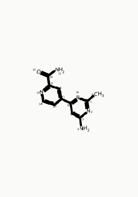 Cc1nc(N)cc(-c2[c]c(C(N)=O)ncc2)n1